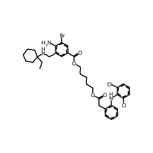 CCC1(NCc2cc(C(=O)OCCCCCOC(=O)Cc3ccccc3Nc3c(Cl)cccc3Cl)cc(Br)c2N)CCCCC1